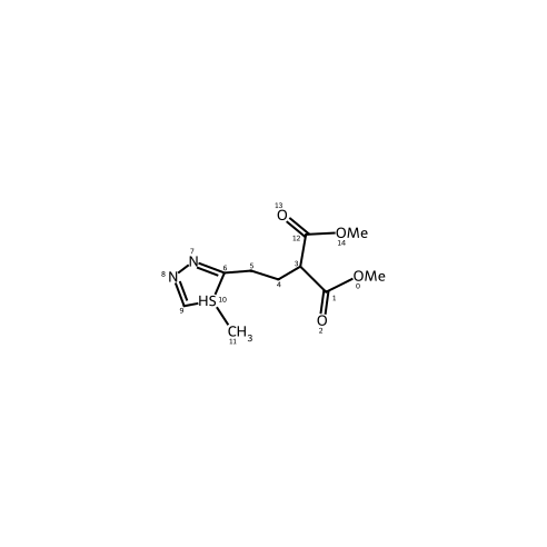 COC(=O)C(CCC1=NN=C[SH]1C)C(=O)OC